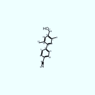 Cc1cc(-c2ccc(C#N)cc2)c(C)cc1CO